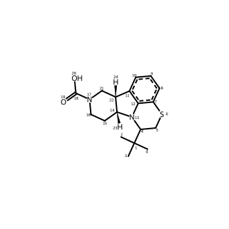 CC(C)(C)C1CSc2cccc3c2N1[C@@H]1CCN(C(=O)O)C[C@H]31